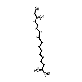 O=CC(O)CCCCCCCCCCCCC(O)CO